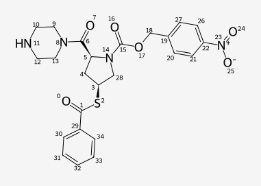 O=C(S[C@H]1C[C@@H](C(=O)N2CCNCC2)N(C(=O)OCc2ccc([N+](=O)[O-])cc2)C1)c1ccccc1